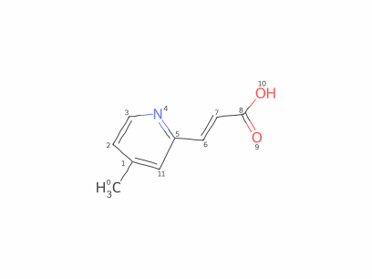 Cc1ccnc(/C=C/C(=O)O)c1